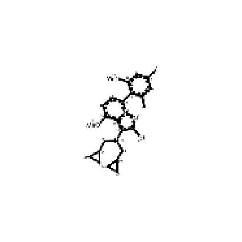 CCc1nn2c(-c3c(C)cc(C)cc3OC)ccc(OC)c2c1N(CC1CC1)CC1CC1